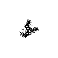 CC(C)NC(=O)c1cc2c(cc1F)SC[C@H](NC(=O)OC(C)(C)C)C(=O)N2Cc1ccc(OC(F)(F)F)cc1